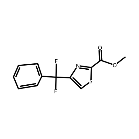 COC(=O)c1nc(C(F)(F)c2ccccc2)cs1